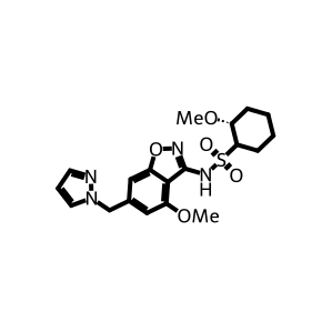 COc1cc(Cn2cccn2)cc2onc(NS(=O)(=O)C3CCCC[C@H]3OC)c12